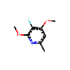 COc1cc(C)nc(OC)c1F